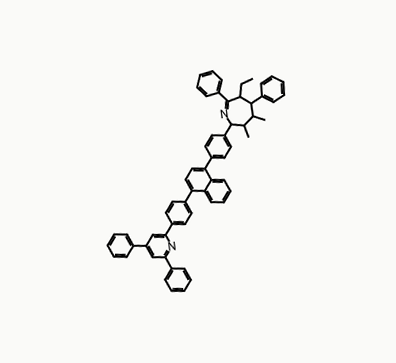 CCC1C(c2ccccc2)=NC(c2ccc(-c3ccc(-c4ccc(-c5cc(-c6ccccc6)cc(-c6ccccc6)n5)cc4)c4ccccc34)cc2)C(C)C(C)C1c1ccccc1